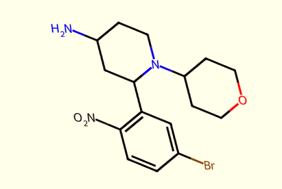 NC1CCN(C2CCOCC2)C(c2cc(Br)ccc2[N+](=O)[O-])C1